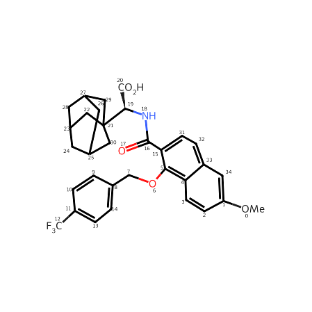 COc1ccc2c(OCc3ccc(C(F)(F)F)cc3)c(C(=O)N[C@H](C(=O)O)C34CC5CC(CC(C5)C3)C4)ccc2c1